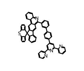 c1ccc(-c2cc(-c3ccc(-c4cccc(-c5nc6ccccc6c6cc7c(cc56)-c5ccccc5C75c6ccccc6Sc6ccccc65)c4)cc3)cc(-c3ccccn3)n2)nc1